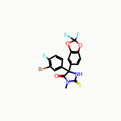 CN1C(=O)C(c2ccc(F)c(Br)c2)(c2ccc3c(c2)OC(F)(F)O3)NC1=S